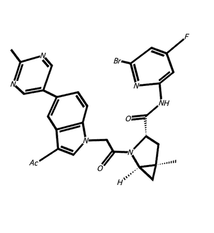 CC(=O)c1cn(CC(=O)N2[C@H](C(=O)Nc3cc(F)cc(Br)n3)C[C@@]3(C)C[C@@H]23)c2ccc(-c3cnc(C)nc3)cc12